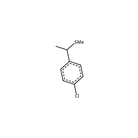 [CH2]C(SC)c1ccc(Cl)cc1